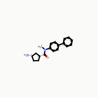 CN(C(=O)[C@@H]1CC[C@H](N)C1)c1ccc(-c2ccccc2)cc1